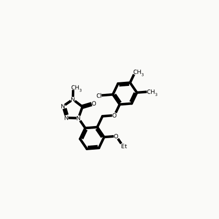 CCOc1cccc(-n2nnn(C)c2=O)c1COc1cc(C)c(C)cc1Cl